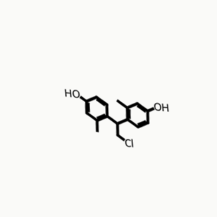 Cc1cc(O)ccc1C(CCl)c1ccc(O)cc1C